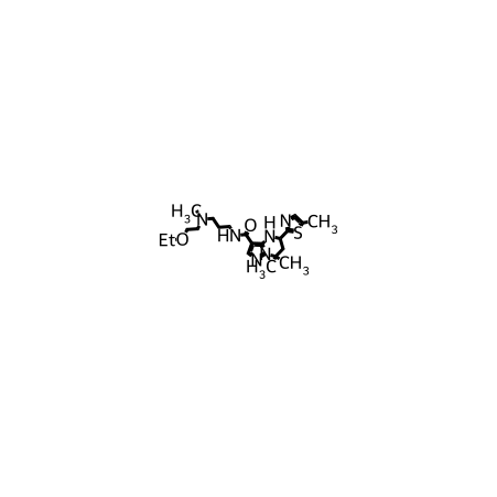 CCOCCN(C)CCCNC(=O)c1cnn2c1NC(c1ncc(C)s1)CC2(C)C